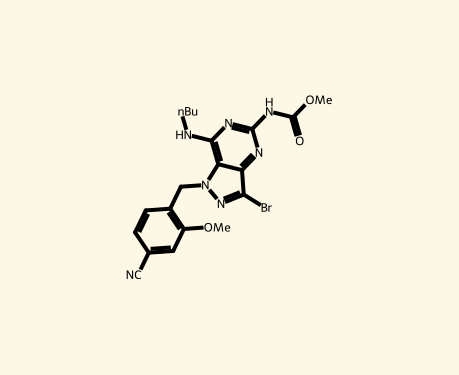 CCCCNc1nc(NC(=O)OC)nc2c(Br)nn(Cc3ccc(C#N)cc3OC)c12